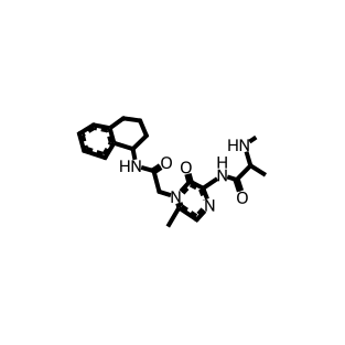 CNC(C)C(=O)Nc1ncc(C)n(CC(=O)NC2CCCc3ccccc32)c1=O